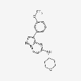 FC(F)(F)Oc1cccc(-c2cnn3ccc(NC4CCOCC4)nc23)c1